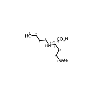 CSCC[C@H](NCCCO)C(=O)O